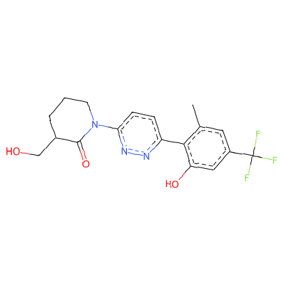 Cc1cc(C(F)(F)F)cc(O)c1-c1ccc(N2CCCC(CO)C2=O)nn1